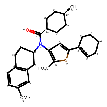 COc1ccc2c(c1)CC(N(c1cc(C3=CCCCC3)sc1C(=O)O)C(=O)[C@H]1CC[C@H](C)CC1)CC2